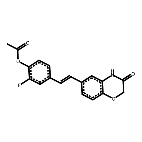 CC(=O)Oc1ccc(/C=C/c2ccc3c(c2)NC(=O)CO3)cc1F